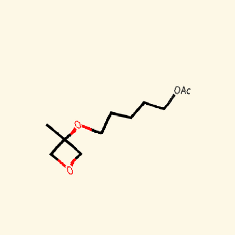 CC(=O)OCCCCCOC1(C)COC1